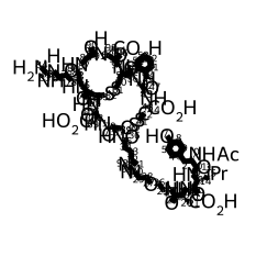 CC(=O)N[C@@H](Cc1ccc(O)cc1)C(=O)N[C@H](CC(C)C)C(=O)N[C@@H](CC(=O)O)C(=O)NCCOCCn1cc(CCC(=O)N[C@@H]2CSSC[C@H](C(=O)O)NC(=O)[C@@H](Cc3ccccc3)NC(=O)[C@H]3CSSC[C@@H](NC(=O)[C@@H](CC(=O)O)NC2=O)C(=O)N[C@H](CCCNC(=N)N)C(=O)NCC(=O)N[C@H](CC(=O)O)C(=O)N3)nn1